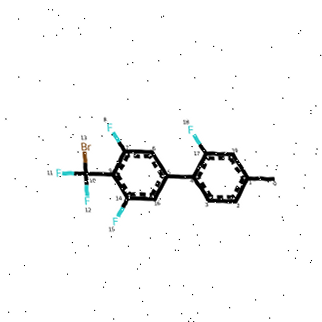 Cc1ccc(-c2cc(F)c(C(F)(F)Br)c(F)c2)c(F)c1